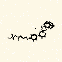 CC(C)(O)CNCCCOc1ccc(C2CCC[C@]3(C2)OOC2(O3)C3CC4CC(C3)CC2C4)cc1